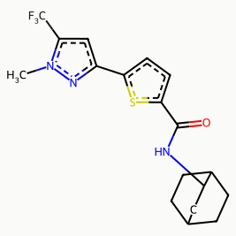 Cn1nc(-c2ccc(C(=O)NC3CC4CCC3CC4)s2)cc1C(F)(F)F